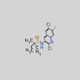 C=CC(C)(C)[S+]([O-])Nc1cc2cc(Cl)c(F)cc2nc1Cl